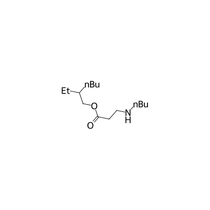 CCCCNCCC(=O)OCC(CC)CCCC